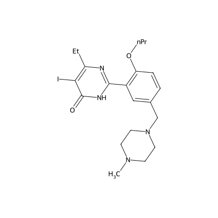 CCCOc1ccc(CN2CCN(C)CC2)cc1-c1nc(CC)c(I)c(=O)[nH]1